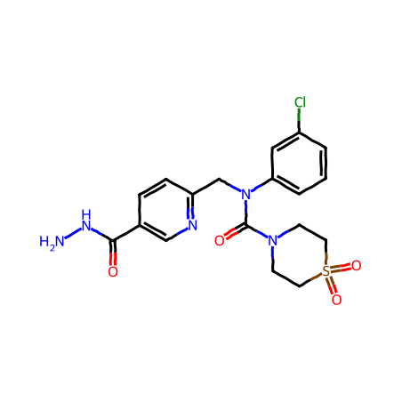 NNC(=O)c1ccc(CN(C(=O)N2CCS(=O)(=O)CC2)c2cccc(Cl)c2)nc1